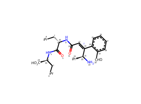 CC(C)C[C@H](NC(=O)[C@H](CC(C)C)NC(=O)/C=C(/c1ccccc1C=O)[C@@H](N)C(C)C)C(=O)O